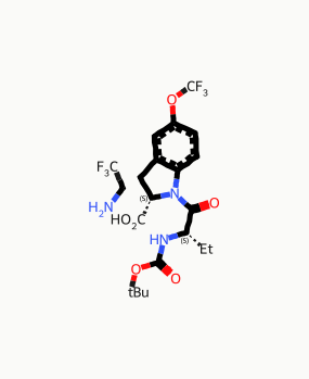 CC[C@H](NC(=O)OC(C)(C)C)C(=O)N1c2ccc(OC(F)(F)F)cc2C[C@H]1C(=O)O.NCC(F)(F)F